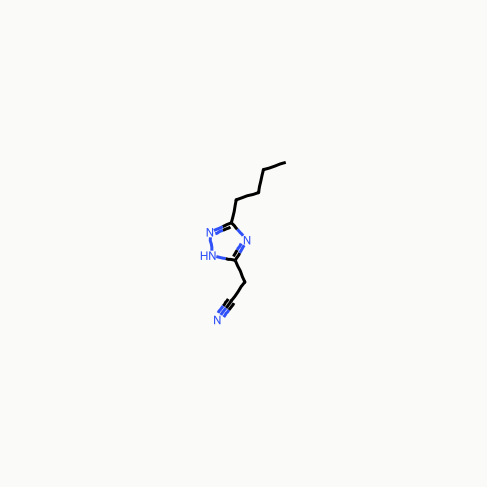 CCCCc1n[nH]c(CC#N)n1